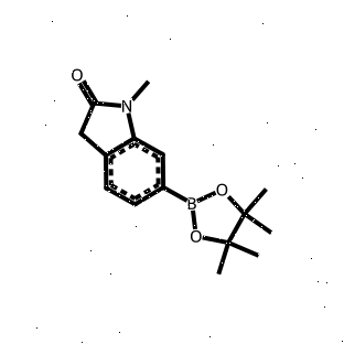 CN1C(=O)Cc2ccc(B3OC(C)(C)C(C)(C)O3)cc21